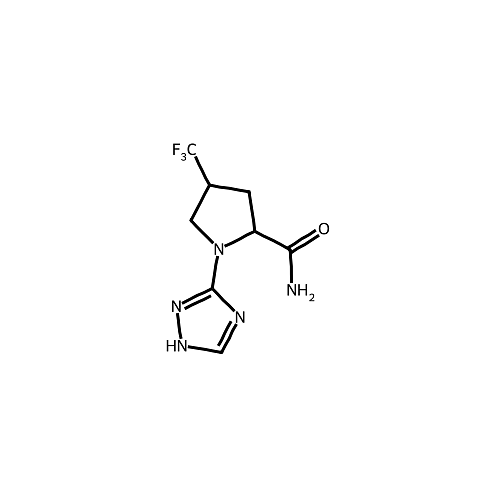 NC(=O)C1CC(C(F)(F)F)CN1c1nc[nH]n1